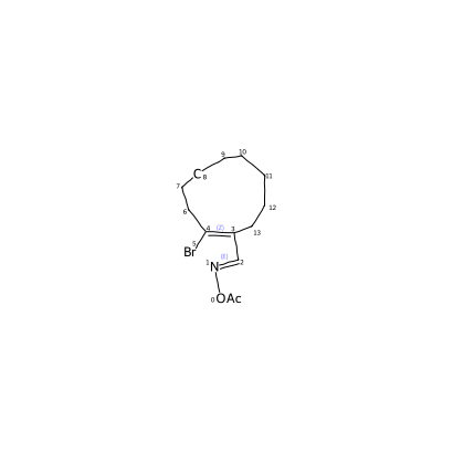 CC(=O)O/N=C/C1=C(\Br)CCCCCCCC1